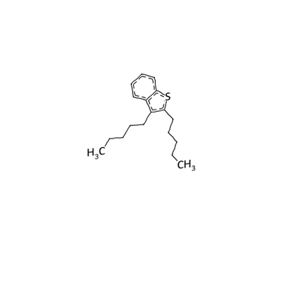 CCCCCc1sc2ccccc2c1CCCCC